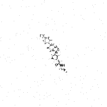 O=C(NCC(F)(F)F)Nc1cccc(-c2cnc3cc(-c4ccc(C(F)(F)F)cc4)ccn23)c1